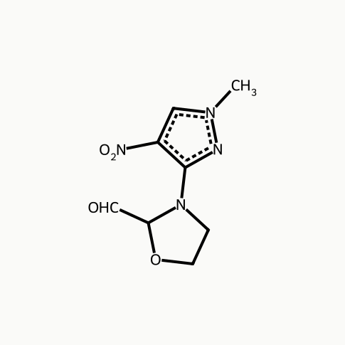 Cn1cc([N+](=O)[O-])c(N2CCOC2C=O)n1